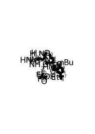 CCCCOc1ccc(C(C)(C)CC)cc1S(=O)(=O)Nc1ccc(C)n(C(CCONC(=N)N)C(N)=O)c1=O.O=C(O)C(F)(F)F